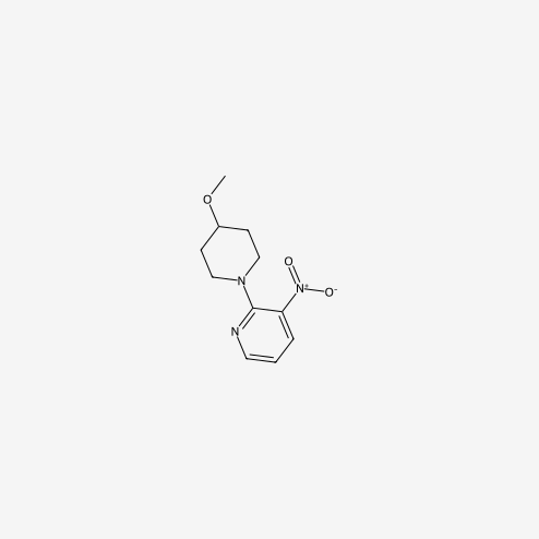 COC1CCN(c2ncccc2[N+](=O)[O-])CC1